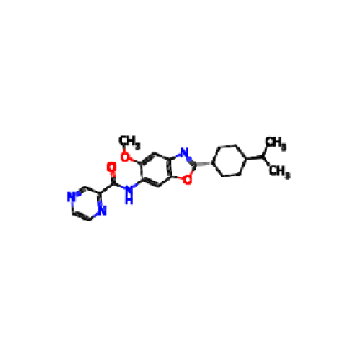 COc1cc2nc([C@H]3CC[C@H](C(C)C)CC3)oc2cc1NC(=O)c1cnccn1